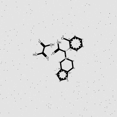 O=C(O)C(=O)O.O=C(O)[C@H](c1ccccc1Cl)N1CCc2sccc2C1